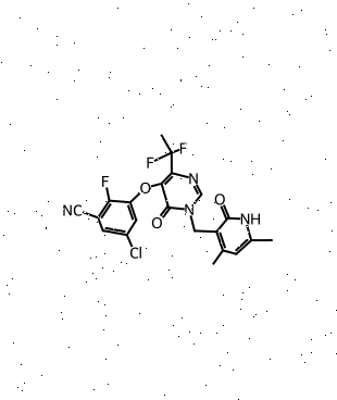 Cc1cc(C)c(Cn2cnc(C(C)(F)F)c(Oc3cc(Cl)cc(C#N)c3F)c2=O)c(=O)[nH]1